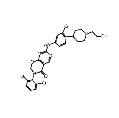 O=C1c2cnc(Nc3ccc(C4CCN(CCO)CC4)c(Cl)c3)nc2OCN1c1c(Cl)cccc1Cl